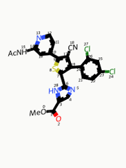 COC(=O)c1cnc(-c2sc(-c3ccnc(NC(C)=O)c3)c(C#N)c2-c2ccc(Cl)cc2Cl)[nH]1